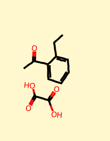 CCc1ccccc1C(C)=O.O=C(O)C(=O)O